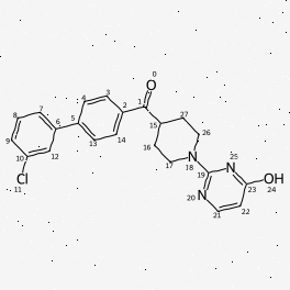 O=C(c1ccc(-c2cccc(Cl)c2)cc1)C1CCN(c2nccc(O)n2)CC1